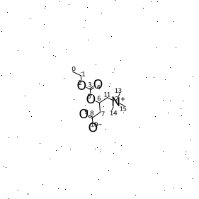 CCOC(=O)OC(CC(=O)[O-])C[N+](C)(C)C